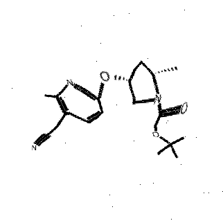 Cc1nc(O[C@@H]2C[C@H](C)N(C(=O)OC(C)(C)C)C2)ccc1C#N